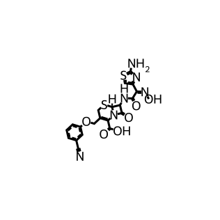 N#Cc1cccc(OCC2=C(C(=O)O)N3C(=O)C(NC(=O)/C(=N\O)c4csc(N)n4)[C@H]3SC2)c1